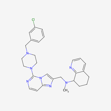 CN(Cc1cn2c(N3CCN(Cc4cccc(Cl)c4)CC3)nccc2n1)C1CCCc2cccnc21